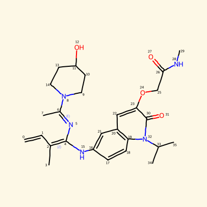 C=C/C(C)=C(\N=C(/C)N1CCC(O)CC1)Nc1ccc2c(c1)cc(OCC(=O)NC)c(=O)n2C(C)C